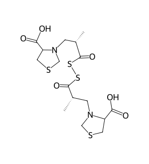 C[C@@H](CN1CSCC1C(=O)O)C(=O)SSC(=O)[C@@H](C)CN1CSCC1C(=O)O